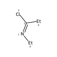 CC/N=C(/Cl)CC